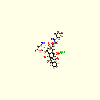 C[C@H]1C[C@@H](N)C[C@H](O[C@H]2C[C@](O)(COC(=O)Nc3ccccc3)Cc3c(O)c4c(c(O)c32)C(=O)c2ccccc2C4=O)O1.Cl